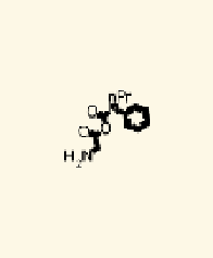 CCCN(C(=O)OC(=O)CN)c1ccccc1